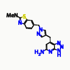 CNc1nc2ccc(Cn3cc(Cc4cc(N)nc5[nH]nnc45)cn3)cc2s1